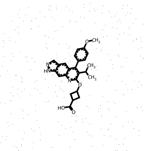 COc1ccc(-c2c(C(C)C)c(OC3CC(C(=O)O)C3)nc3cc4[nH]ncc4cc23)cc1